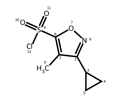 Cc1c(C2CC2)noc1S(=O)(=O)Cl